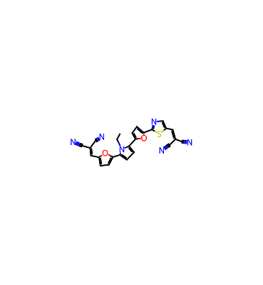 CCn1c(-c2ccc(C=C(C#N)C#N)o2)ccc1-c1ccc(-c2ncc(C=C(C#N)C#N)s2)o1